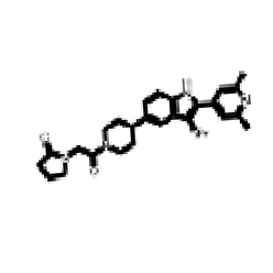 Cc1cc(-c2[nH]c3ccc(C4CCN(C(=O)CN5CCCC5=O)CC4)cc3c2C(C)C)cc(C)n1